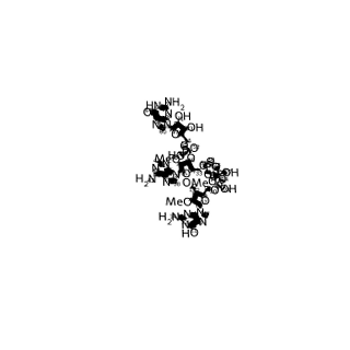 COC[C@H]1[C@@H](OC)[C@H](n2cnc3c(=O)[nH]c(N)nc32)O[C@@H]1COP(=O)(O)OP(=O)(O)OP(=O)(O)OC[C@H]1O[C@@H](n2cnc3c(N)ncnc32)[C@H](OC)[C@@H]1OP(=O)(O)OC[C@H]1O[C@@H](n2cnc3c(=O)[nH]c(N)nc32)[C@H](O)[C@@H]1O